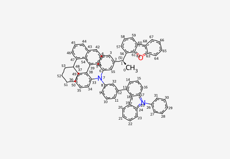 C[C@@H](c1cccc(N(c2cccc(-c3cccc4c3c3ccccc3n4-c3ccccc3)c2)c2ccccc2-c2cccc3cccc(C4CCCCC4)c23)c1)c1cccc2c1oc1ccccc12